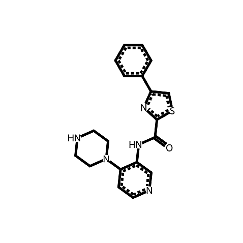 O=C(Nc1cnccc1N1CCNCC1)c1nc(-c2ccccc2)cs1